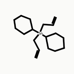 C=C[CH2][Sn]([CH2]C=C)([CH]1CCCCC1)[CH]1CCCCC1